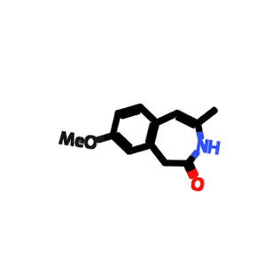 COc1ccc2c(c1)CC(=O)NC(C)=C2